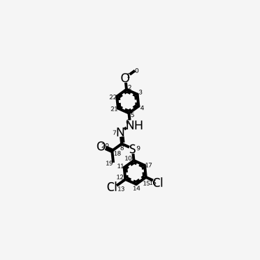 COc1ccc(NN=C(Sc2cc(Cl)cc(Cl)c2)C(C)=O)cc1